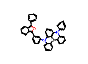 c1ccc(-c2oc(-c3cccc(N4c5ccccc5B5c6ccccc6N(c6ccccc6)c6cccc4c65)c3)c3ccccc23)cc1